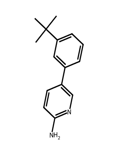 CC(C)(C)c1cccc(-c2ccc(N)nc2)c1